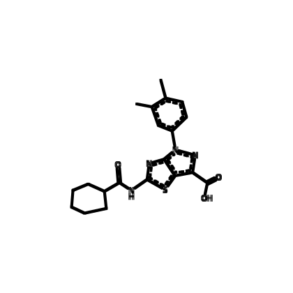 Cc1ccc(-n2nc(C(=O)O)c3sc(NC(=O)C4CCCCC4)nc32)cc1C